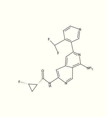 Nc1nc(-c2cnccc2C(F)F)cc2cc(NC(=O)[C@@H]3C[C@@H]3F)ncc12